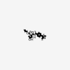 C=CCOC(=O)N1C[C@H](O)C[C@H]1C(=O)N[C@@H](C)c1ccc(-c2scnc2C)cc1